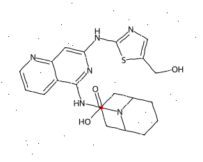 O=C(O)N1C2CCCC1CC(Nc1nc(Nc3ncc(CO)s3)cc3ncccc13)C2